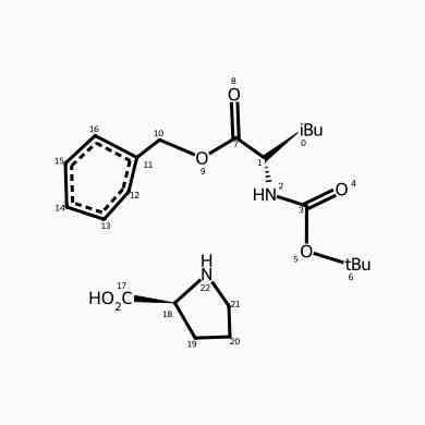 CC[C@H](C)[C@H](NC(=O)OC(C)(C)C)C(=O)OCc1ccccc1.O=C(O)[C@@H]1CCCN1